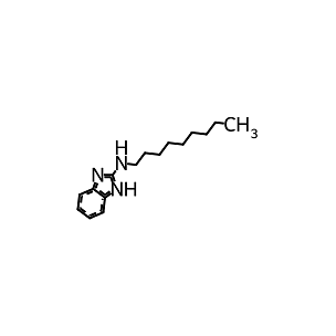 CCCCCCCCCNc1nc2ccccc2[nH]1